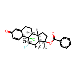 CC(=O)[C@@]1(OC(=O)c2ccccc2)CC[C@H]2[C@@H]3CCC4=CC(=O)C=C[C@]4(C)[C@@]3(Cl)[C@@H](F)C[C@@]21C